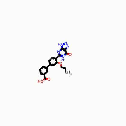 CCCOc1cc(-c2cccc(C(=O)O)c2)ccc1-c1nc2[nH]nnc2c(=O)[nH]1